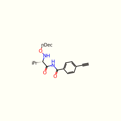 C#Cc1ccc(C(=O)NC(=O)[C@@H](NOCCCCCCCCCC)C(C)C)cc1